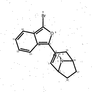 CN1C2C=C(c3oc(Br)c4ccccc34)CC1CC2